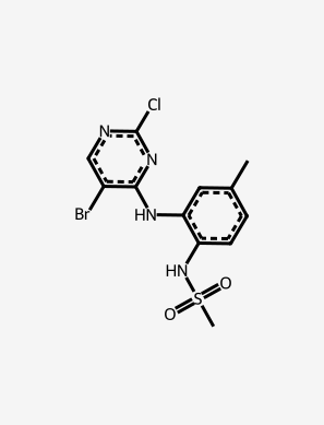 Cc1ccc(NS(C)(=O)=O)c(Nc2nc(Cl)ncc2Br)c1